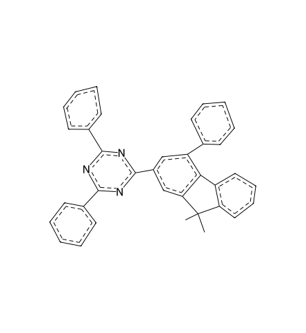 CC1(C)c2ccccc2-c2c(-c3ccccc3)cc(-c3nc(-c4ccccc4)nc(-c4ccccc4)n3)cc21